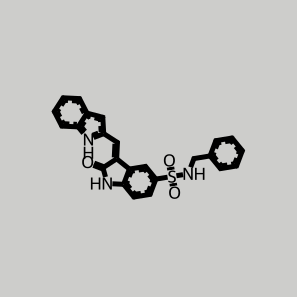 O=C1Nc2ccc(S(=O)(=O)NCc3ccccc3)cc2C1=Cc1cc2ccccc2[nH]1